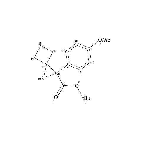 COc1ccc(C2(C(=O)OC(C)(C)C)OC23CCC3)cc1